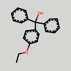 CCOc1ccc(C(O)(c2ccccc2)c2ccccc2)cc1